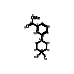 COC(=O)c1cncc(N2CCC(F)(F)CC2)n1